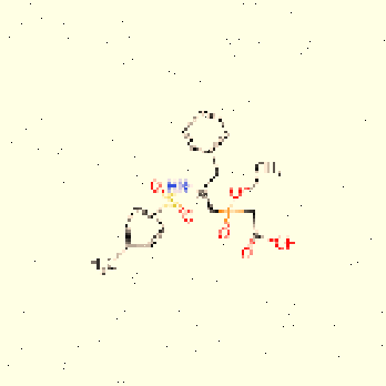 CCOP(=O)(CC(=O)O)C[C@H](Cc1ccccc1)NS(=O)(=O)c1ccc(C)cc1